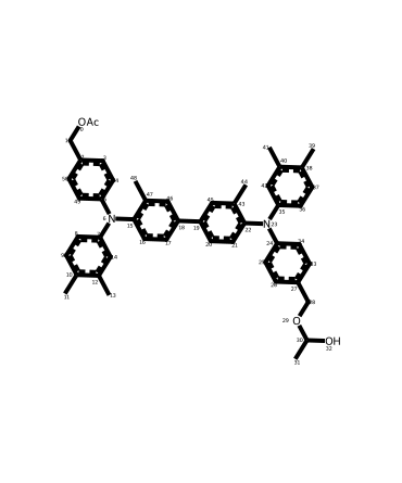 CC(=O)OCc1ccc(N(c2ccc(C)c(C)c2)c2ccc(-c3ccc(N(c4ccc(COC(C)O)cc4)c4ccc(C)c(C)c4)c(C)c3)cc2C)cc1